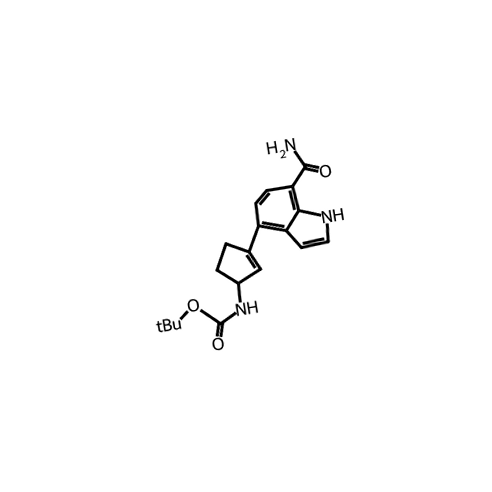 CC(C)(C)OC(=O)NC1C=C(c2ccc(C(N)=O)c3[nH]ccc23)CC1